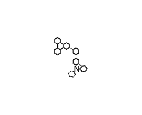 C1=CCCC(n2c3ccccc3c3cc(-c4cccc(-c5ccc6c7ccccc7c7ccccc7c6c5)c4)ccc32)=C1